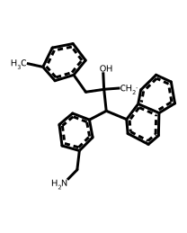 [CH2]C(O)(Cc1cccc(C)c1)C(c1cccc(CN)c1)c1cccc2ccccc12